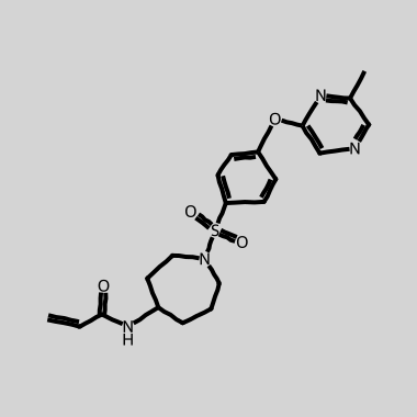 C=CC(=O)NC1CCCN(S(=O)(=O)c2ccc(Oc3cncc(C)n3)cc2)CC1